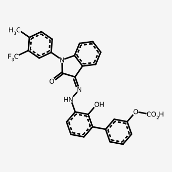 Cc1ccc(N2C(=O)C(=NNc3cccc(-c4cccc(OC(=O)O)c4)c3O)c3ccccc32)cc1C(F)(F)F